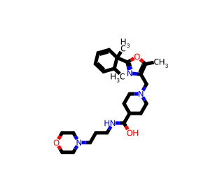 Cc1oc(C2(C)C=CC=CC2C)nc1CN1CCC(C(O)NCCCN2CCOCC2)CC1